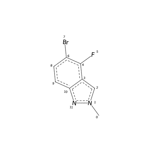 Cn1cc2c(F)c(Br)ccc2n1